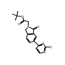 CC(C)(C)OC(=O)CN1Cc2ccc(-c3ccnc(Cl)n3)cc2C1=O